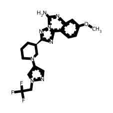 COc1ccc2c(c1)nc(N)n1nc([C@@H]3CCCN(c4cnn(CC(F)(F)F)c4)C3)nc21